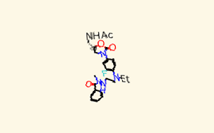 CCN(CCNN(C)C(=O)c1ccccc1)c1ccc(N2C[C@H](CNC(C)=O)OC2=O)cc1F